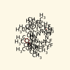 Cc1ccc(Nc2c(Nc3ccc(C)cc3C)c(Nc3ccc(C)cc3C)c3c(c2Nc2ccc(C)cc2C)-c2nc-3nc3[nH]c(nc4nc(nc5[nH]c(n2)c2c(F)c(F)c(F)c(F)c52)-c2c(F)c(F)c(F)c(F)c2-4)c2c(Nc4ccc(C)cc4C)c(Nc4ccc(C)cc4C)c(Nc4ccc(C)cc4C)c(Nc4ccc(C)cc4C)c32)c(C)c1